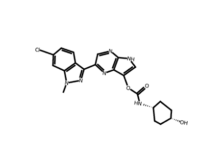 Cn1nc(-c2cnc3[nH]cc(OC(=O)N[C@H]4CC[C@@H](O)CC4)c3n2)c2ccc(Cl)cc21